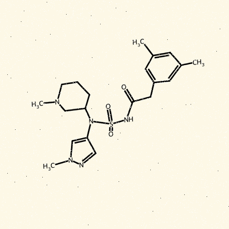 Cc1cc(C)cc(CC(=O)NS(=O)(=O)N(c2cnn(C)c2)C2CCCN(C)C2)c1